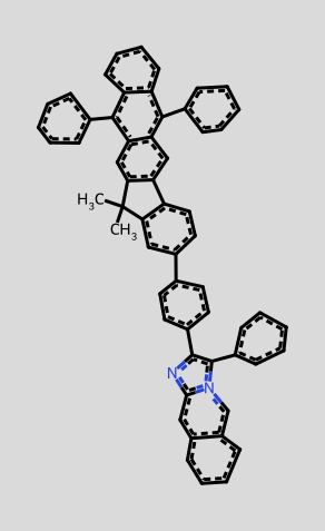 CC1(C)c2cc(-c3ccc(-c4nc5cc6ccccc6cn5c4-c4ccccc4)cc3)ccc2-c2cc3c(-c4ccccc4)c4ccccc4c(-c4ccccc4)c3cc21